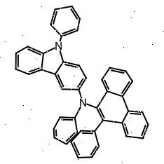 c1ccc(-c2c(N(c3ccccc3)c3ccc4c(c3)c3ccccc3n4-c3ccccc3)c3ccccc3c3ccccc23)cc1